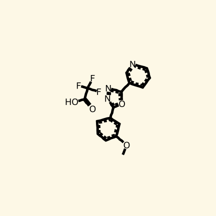 COc1cccc(-c2nnc(-c3cccnc3)o2)c1.O=C(O)C(F)(F)F